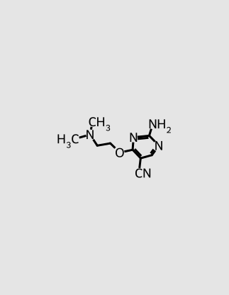 CN(C)CCOc1nc(N)ncc1C#N